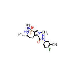 CC(C)C[C@H]1CCc2c(cn(C)c2C(=O)Nc2ccc(F)c(C#N)c2)[SH](=O)(NC(C)C)N1